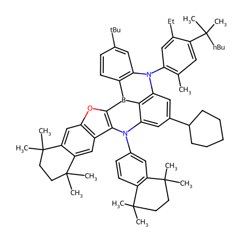 CCCCC(C)(C)c1cc(C)c(N2c3cc(C(C)(C)C)ccc3B3c4oc5cc6c(cc5c4N(c4ccc5c(c4)C(C)(C)CCC5(C)C)c4cc(C5CCCCC5)cc2c43)C(C)(C)CCC6(C)C)cc1CC